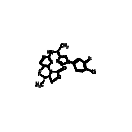 C[C@H](Nc1ncc(F)c(N2C(=O)OCC2[C@H](C)F)n1)c1cn(-c2ccc(Cl)c(F)c2)cn1